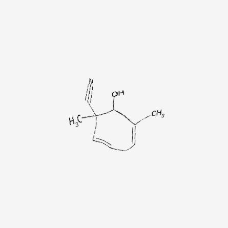 CC1=CC=CC(C)(C#N)C1O